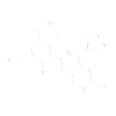 COc1cc(OC)c(F)c(-c2cc3cnc(C)nc3c(-c3cn[nH]c3)n2)c1F